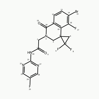 O=C(CN1CC2(CC2(F)F)c2c(ccc(Br)c2F)C1=O)Nc1ncc(F)cn1